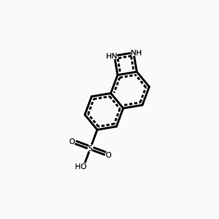 O=S(=O)(O)c1ccc2c(ccc3[nH][nH]c32)c1